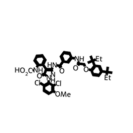 CCC(C)(C)c1ccc(OCC(=O)Nc2cccc(C(=O)Nc3[nH]n(-c4c(Cl)ccc(OC)c4Cl)c(=O)c3-c3ccccc3NC(=O)O)c2)c(C(C)(C)CC)c1